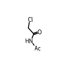 [CH2]C(=O)NC(=O)CCl